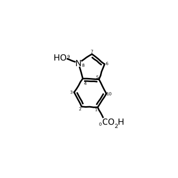 O=C(O)c1ccc2c(ccn2O)c1